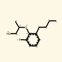 CCCCc1cccc(F)c1OC(C)CO